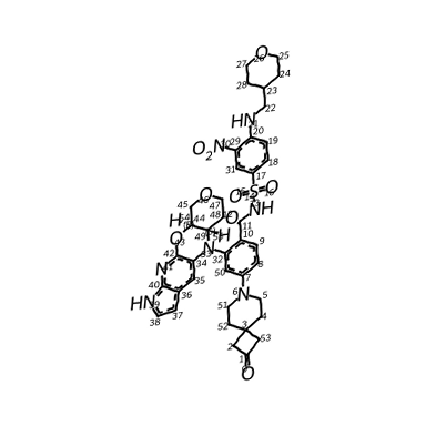 O=C1CC2(CCN(c3ccc(C(=O)NS(=O)(=O)c4ccc(NCC5CCOCC5)c([N+](=O)[O-])c4)c(N4c5cc6cc[nH]c6nc5O[C@H]5COCC[C@@H]54)c3)CC2)C1